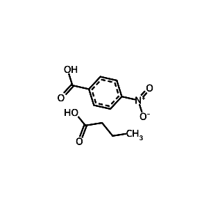 CCCC(=O)O.O=C(O)c1ccc([N+](=O)[O-])cc1